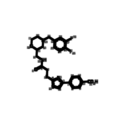 O=C(CSc1nc(-c2ccc(C(=O)O)cc2)cs1)NCC1CN(Cc2ccc(F)c(F)c2)CCO1